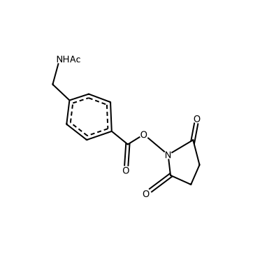 CC(=O)NCc1ccc(C(=O)ON2C(=O)CCC2=O)cc1